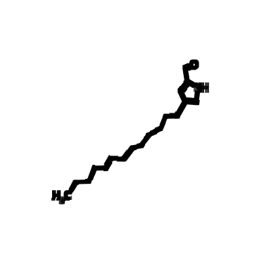 CCCCCCCCCCCCCc1c[nH]c(C=O)c1